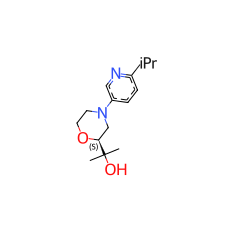 CC(C)c1ccc(N2CCO[C@H](C(C)(C)O)C2)cn1